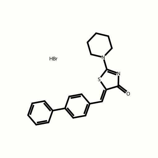 Br.O=C1N=C(N2CCCCC2)SC1=Cc1ccc(-c2ccccc2)cc1